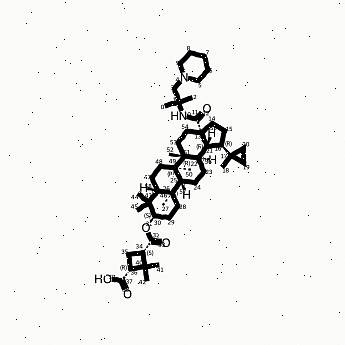 CC(C)(CN1CCCCC1)NC(=O)[C@]12CC[C@@H](C3(C)CC3)[C@@H]1[C@H]1CC[C@@H]3[C@@]4(C)CC[C@H](OC(=O)[C@H]5C[C@@H](C(=O)O)C5(C)C)C(C)(C)[C@@H]4CC[C@@]3(C)[C@]1(C)CC2